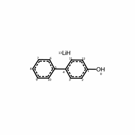 Oc1ccc(-c2ccccc2)cc1.[LiH]